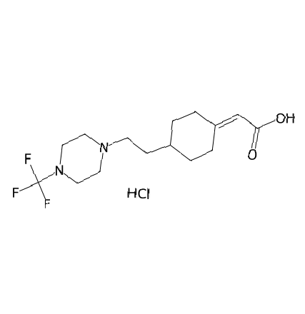 Cl.O=C(O)C=C1CCC(CCN2CCN(C(F)(F)F)CC2)CC1